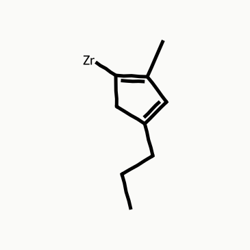 CCCC1=CC(C)=[C]([Zr])C1